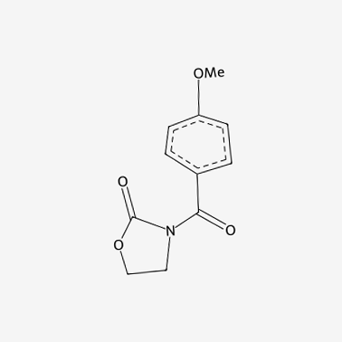 COc1ccc(C(=O)N2CCOC2=O)cc1